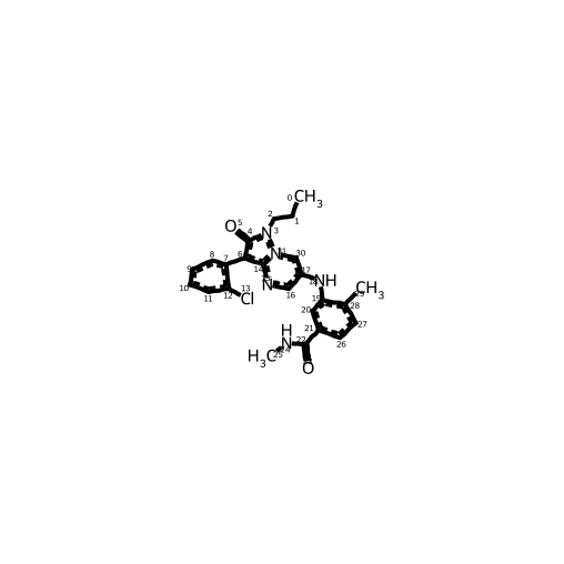 CCCn1c(=O)c(-c2ccccc2Cl)c2ncc(Nc3cc(C(=O)NC)ccc3C)cn21